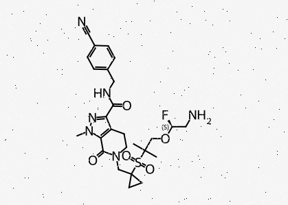 Cn1nc(C(=O)NCc2ccc(C#N)cc2)c2c1C(=O)N(CC1(S(=O)(=O)C(C)(C)CO[C@@H](F)CN)CC1)CC2